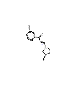 O=C(/C=C/N1CC[C@@H](F)C1)c1cc(Cl)ccn1